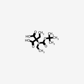 CCN(C(=O)OC(C)(C)C)C(CC)(C(=O)O)C(=O)O